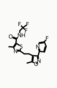 Cc1nc(CCc2c(-c3ccc(F)cn3)noc2C)sc1C(=O)NCC(F)(F)F